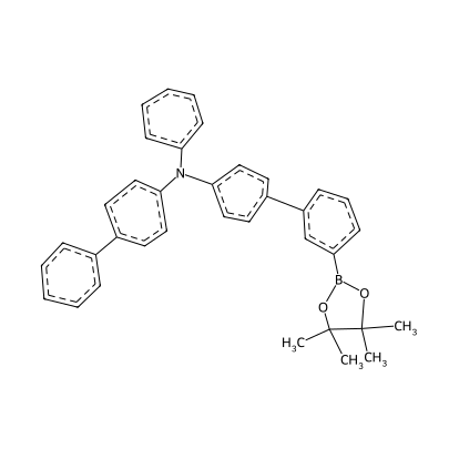 CC1(C)OB(c2cccc(-c3ccc(N(c4ccccc4)c4ccc(-c5ccccc5)cc4)cc3)c2)OC1(C)C